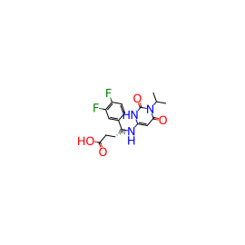 CC(C)n1c(=O)cc(N[C@H](CCC(=O)O)c2ccc(F)c(F)c2)[nH]c1=O